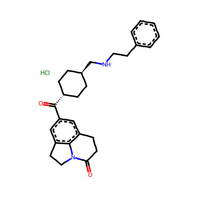 Cl.O=C1CCc2cc(C(=O)[C@H]3CC[C@H](CNCCc4ccccc4)CC3)cc3c2N1CC3